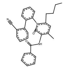 CCCCc1cc(C)c(NC(=O)c2ccccc2)c(=O)n1-c1ccccc1-c1ccccc1C#N